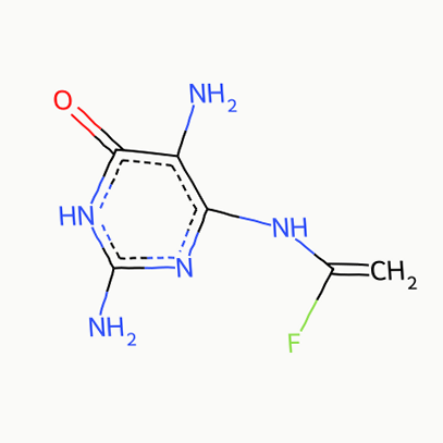 C=C(F)Nc1nc(N)[nH]c(=O)c1N